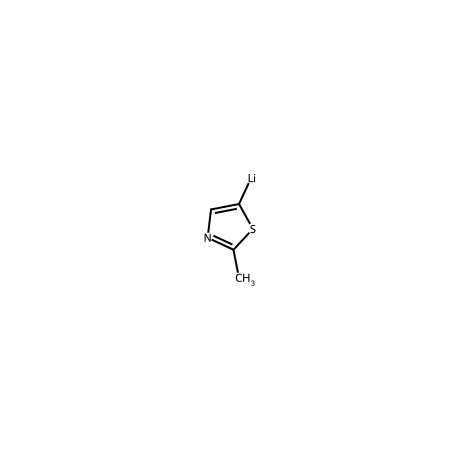 [Li][c]1cnc(C)s1